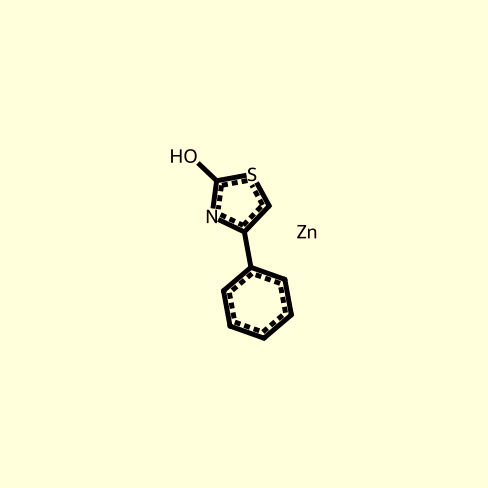 Oc1nc(-c2ccccc2)cs1.[Zn]